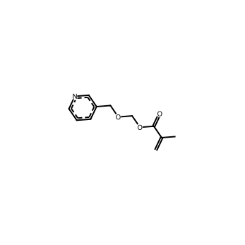 C=C(C)C(=O)OCOCc1cccnc1